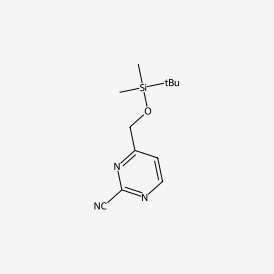 CC(C)(C)[Si](C)(C)OCc1ccnc(C#N)n1